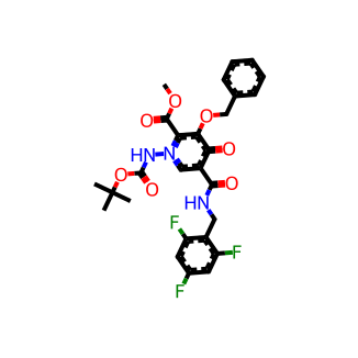 COC(=O)c1c(OCc2ccccc2)c(=O)c(C(=O)NCc2c(F)cc(F)cc2F)cn1NC(=O)OC(C)(C)C